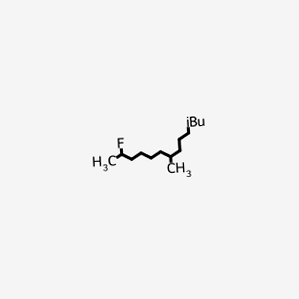 CCC(C)CCCC(C)CCCCC(C)F